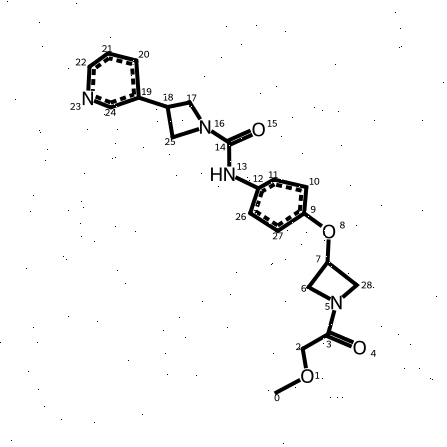 COCC(=O)N1CC(Oc2ccc(NC(=O)N3CC(c4cccnc4)C3)cc2)C1